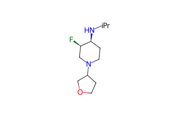 CC(C)N[C@H]1CCN(C2CCOC2)C[C@H]1F